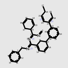 C=N/C(=N\C(=N/Cc1ccccc1)C1=CC=CC(c2cccc(C(/C=C\CC)=C/C)c2)C1)C1C=CC=CC1